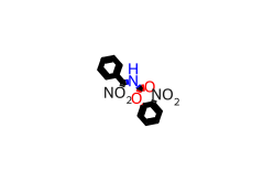 O=C(NC(c1ccccc1)[N+](=O)[O-])Oc1ccccc1[N+](=O)[O-]